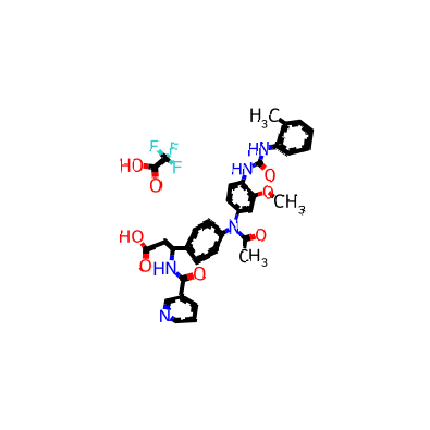 COc1cc(N(C(C)=O)c2ccc(C(CC(=O)O)NC(=O)c3cccnc3)cc2)ccc1NC(=O)Nc1ccccc1C.O=C(O)C(F)(F)F